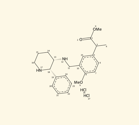 COC(=O)C(C)c1ccc(OC)c(CN[C@H]2CCCN[C@H]2c2ccccc2)c1.Cl.Cl